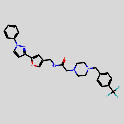 O=C(CN1CCN(Cc2ccc(C(F)(F)F)cc2)CC1)NCc1coc(-c2ccn(-c3ccccc3)n2)c1